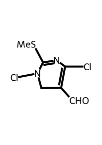 CSC1=NC(Cl)=C(C=O)CN1Cl